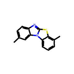 Cc1ccc2nc3sc4c(C)cccc4n3c2c1